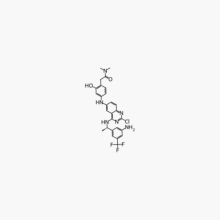 C[C@@H](Nc1nc(Cl)nc2ccc(Nc3ccc(CC(=O)N(C)C)c(O)c3)cc12)c1cc(N)cc(C(F)(F)F)c1